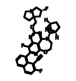 C#Cc1c(F)ccc2cccc(-c3nc4c5c(nc(OC[C@@]67CCCN6C[C@H](F)C7)nc5c3F)N([C@@H]3C[C@H]5CC[C@@H]3N5)CCO4)c12